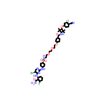 CC1(C)C(NC(=O)c2ccc(OCCOCCOCCNS(=O)(=O)c3ccc(Nc4ncc(Br)c(Nc5cccc(F)c5C(N)=O)n4)cc3)cc2)C(C)(C)C1Oc1ccc(C#N)c(Cl)c1